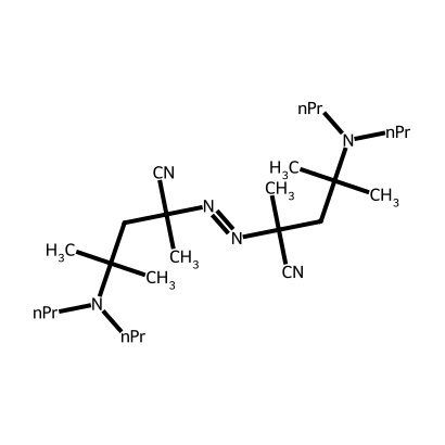 CCCN(CCC)C(C)(C)CC(C)(C#N)/N=N/C(C)(C#N)CC(C)(C)N(CCC)CCC